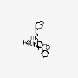 Cl.Cl.c1ccc2c(c1)OCc1cc(NCCN3CCOCC3)nnc1-2